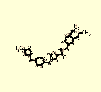 C=C/C=c1/cc(CNC(=O)c2cn(Cc3ccc(Cn4cc(C)cn4)cc3)cn2)cc/c1=C/C